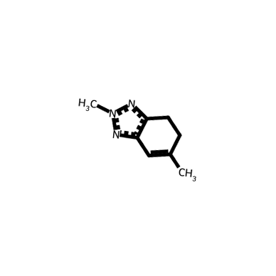 CC1=Cc2nn(C)nc2CC1